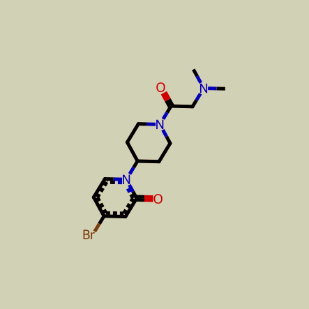 CN(C)CC(=O)N1CCC(n2ccc(Br)cc2=O)CC1